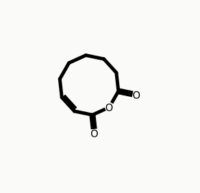 O=C1C=CCCCCCC(=O)O1